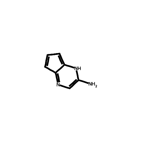 Nc1cnc2cccc-2[nH]1